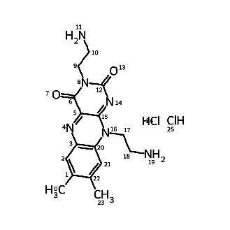 Cc1cc2nc3c(=O)n(CCN)c(=O)nc-3n(CCN)c2cc1C.Cl.Cl